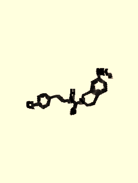 Nc1ccc2c(c1)CN(C(=S)NCCc1ccc(Cl)cc1)CC2